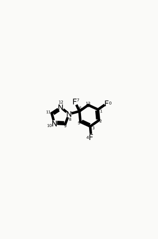 FC1=CC(F)=CC(F)(n2cncn2)[CH]1